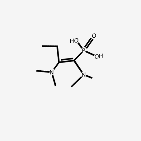 CCC(=C(N(C)C)P(=O)(O)O)N(C)C